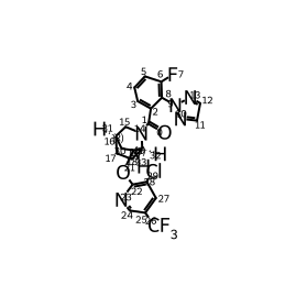 O=C(c1cccc(F)c1-n1nccn1)N1C[C@@H]2CC[C@H]1[C@H](Oc1ncc(C(F)(F)F)cc1Cl)C2